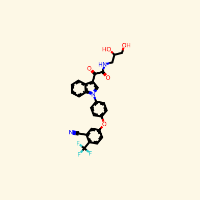 N#Cc1cc(Oc2ccc(-n3cc(C(=O)C(=O)NCC(O)CO)c4ccccc43)cc2)ccc1C(F)(F)F